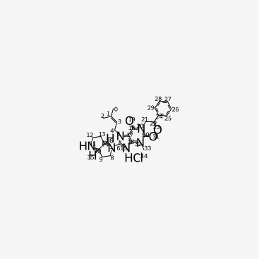 CC(C)=CCn1c(N2CC[C@H]3NCC[C@H]32)nc2c1c(=O)n(CC(=O)c1ccccc1)c(=O)n2C.Cl